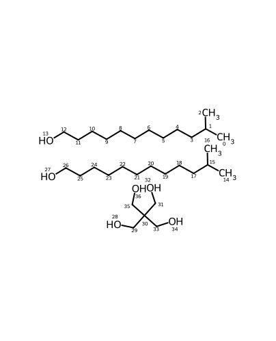 CC(C)CCCCCCCCCCO.CC(C)CCCCCCCCCCO.OCC(CO)(CO)CO